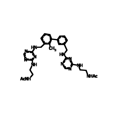 CC(=O)NCCNc1ncnc(NCc2cccc(-c3cccc(CNc4ncnc(NCCNC(C)=O)n4)c3C)c2)n1